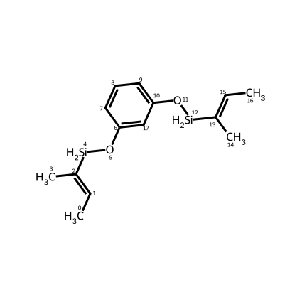 CC=C(C)[SiH2]Oc1cccc(O[SiH2]C(C)=CC)c1